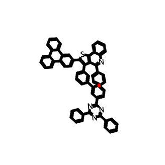 c1ccc(-c2nc(-c3ccccc3)nc(-c3cccc(-c4cccc(-c5c(-c6ccc7c8ccccc8c8ccccc8c7c6)sc6c5c(-c5ccccc5)nc5ccccc56)c4)c3)n2)cc1